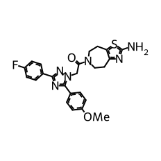 COc1ccc(-c2nc(-c3ccc(F)cc3)nn2CC(=O)N2CCc3nc(N)sc3CC2)cc1